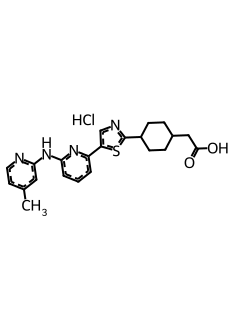 Cc1ccnc(Nc2cccc(-c3cnc(C4CCC(CC(=O)O)CC4)s3)n2)c1.Cl